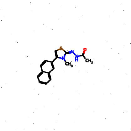 CC(=O)NN=c1scc(-c2ccc3ccccc3c2)n1C